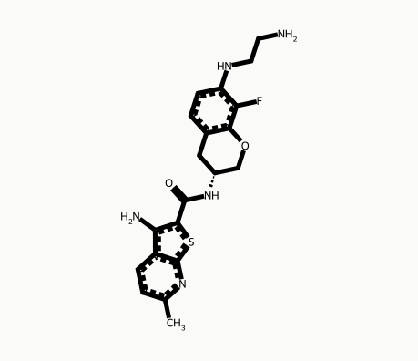 Cc1ccc2c(N)c(C(=O)N[C@H]3COc4c(ccc(NCCN)c4F)C3)sc2n1